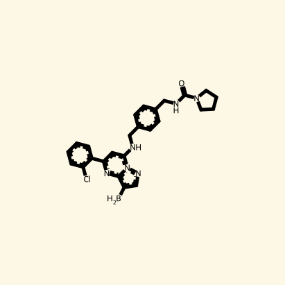 Bc1cnn2c(NCc3ccc(CNC(=O)N4CCCC4)cc3)cc(-c3ccccc3Cl)nc12